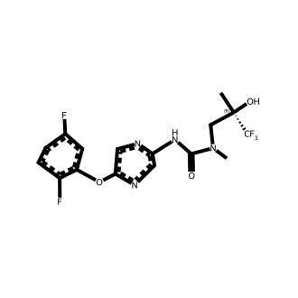 CN(C[C@@](C)(O)C(F)(F)F)C(=O)Nc1cnc(Oc2cc(F)ccc2F)cn1